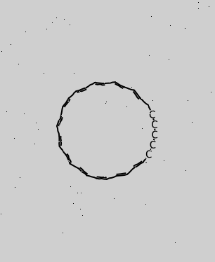 [C]1=C/C=C/C=C\C=C\C=C\C=C\C=C\C=C/C=C/C=C/C=C/C=C/CCCCCC/1